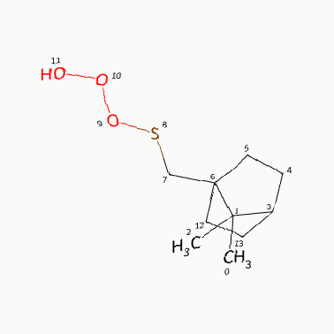 CC1(C)C2CCC1(CSOOO)CC2